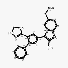 CNCc1ccc2nc(C)c(-c3nc(-c4ccccc4)c(C4=NNCN4)s3)n2c1